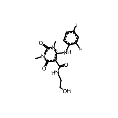 Cn1c(Nc2ccc(I)cc2F)c(C(=O)NCCO)c(=O)n(C)c1=O